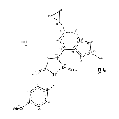 COc1ccc(CN2C(=O)CN(c3cc(C4CC4)cn4cc(CN)nc34)C2=O)cc1.Cl